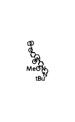 COc1cc(N2CCc3cc(OC[C@H]4CCCO4)ccc3C2=O)ccc1N1CCCN(CC(C)(C)C)CC1